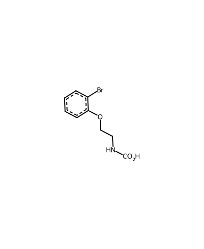 O=C(O)NCCOc1ccccc1Br